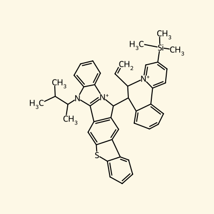 C=CC1C(C2c3cc4c(cc3-c3n(C(C)C(C)C)c5ccccc5[n+]32)sc2ccccc24)c2ccccc2-c2ccc([Si](C)(C)C)c[n+]21